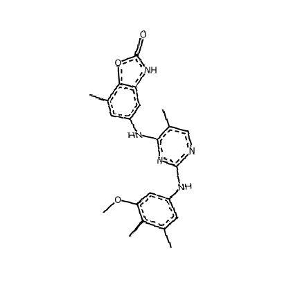 COc1cc(Nc2ncc(C)c(Nc3cc(C)c4oc(=O)[nH]c4c3)n2)cc(C)c1C